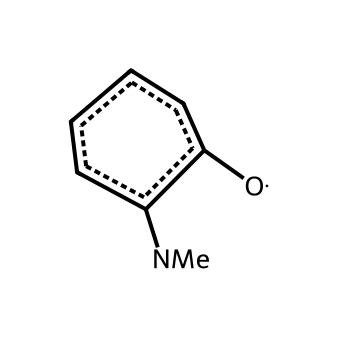 CNc1ccccc1[O]